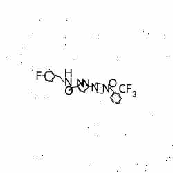 O=C(NCCc1ccc(F)cc1)c1ccc(N2CCN(C(=O)c3ccccc3C(F)(F)F)CC2)nn1